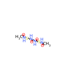 CC(=O)NCSCCNC(=O)CNC(=O)CSCNC(C)=O